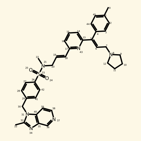 Cc1ccc(C(=CCN2CCCC2)c2cccc(C=CCN(C)S(=O)(=O)c3ccc(Cn4c(C)nc5cnccc54)cc3)n2)cc1